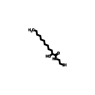 CCCCCCCCCCC(O)C(=O)NCCS